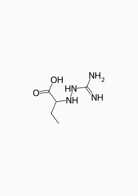 CCC(NNC(=N)N)C(=O)O